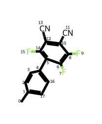 Cc1ccc(-c2c(F)c(F)c(C#N)c(C#N)c2F)cc1